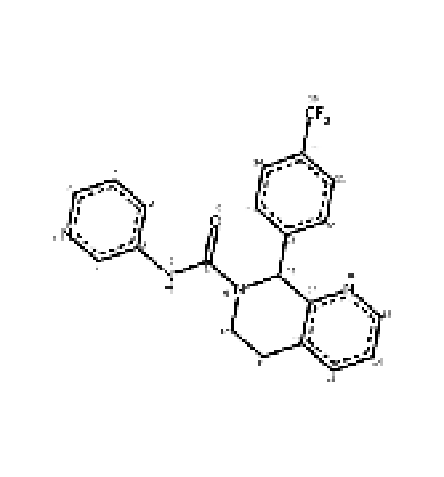 O=C(Nc1cccnc1)N1CCc2cccnc2C1c1ccc(C(F)(F)F)cc1